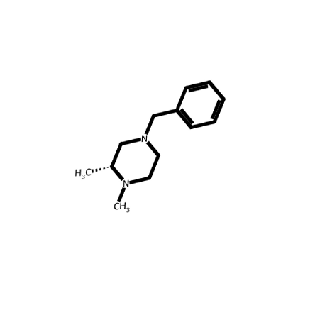 C[C@@H]1CN(Cc2ccccc2)CCN1C